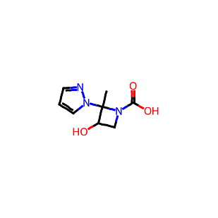 CC1(n2cccn2)C(O)CN1C(=O)O